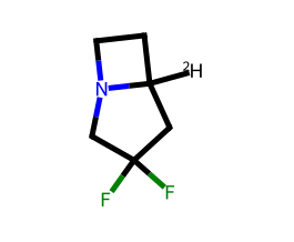 [2H]C12CCN1CC(F)(F)C2